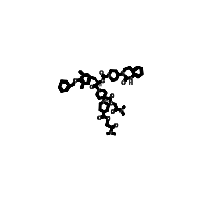 Cc1cc(C[C@@H](OC(=O)N2CCC(N3CCc4ccccc4NC3=O)CC2)C(=O)N2CCC(C(=O)OCC(=O)N(C)C)([N+]3CCC(C(=O)OCC(=O)N(C)C)CC3)CC2)cc(C)c1OCc1ccccc1